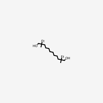 CCC(C)(CO)CCCCCCCCC(C)(CC)CO